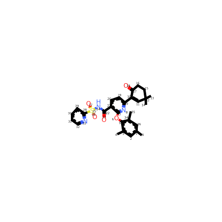 Cc1cc(C)c(Oc2nc(C3=CC(C)(C)CCC3=O)ccc2C(=O)NS(=O)(=O)c2ccccn2)c(C)c1